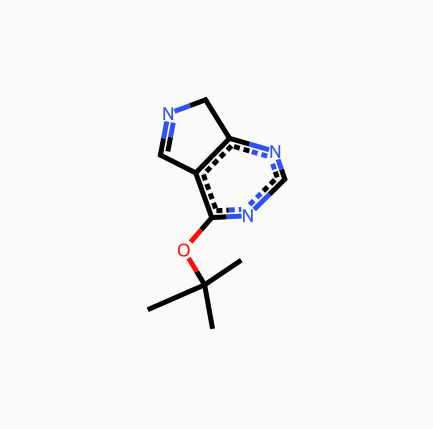 CC(C)(C)Oc1ncnc2c1C=NC2